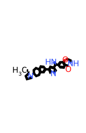 CC[C@@H]1CCCN1C1CCc2ccc(-c3cncc(C(=N)c4ccc5c(c4)OCCNC5=O)c3)cc2CC1